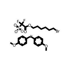 COc1ccc([I+]c2ccc(OC)cc2)cc1.O=C(OCCCCCCBr)C(F)(F)S(=O)(=O)[O-]